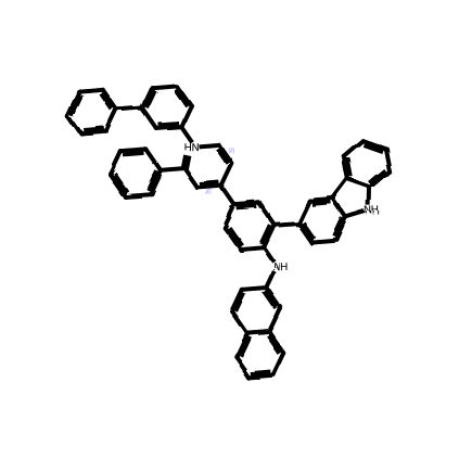 C=C(/C=C(\C=C/Nc1cccc(-c2ccccc2)c1)c1ccc(Nc2ccc3ccccc3c2)c(-c2ccc3[nH]c4ccccc4c3c2)c1)c1ccccc1